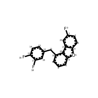 Fc1ccc2oc3cc[c]c(Cc4ccc(F)c(F)c4)c3c2c1